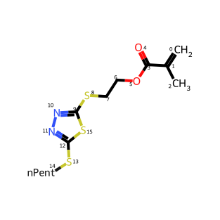 C=C(C)C(=O)OCCSc1nnc(SCCCCC)s1